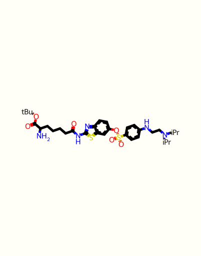 CC(C)N(CCNc1ccc(S(=O)(=O)Oc2ccc3nc(NC(=O)CCCCC(N)C(=O)OC(C)(C)C)sc3c2)cc1)C(C)C